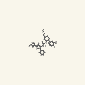 COCCN1CCC(c2ccc(F)c(F)c2)C(NC(=O)Nc2c(C)c(-c3cnn(C)c3)nn2-c2ccccc2)C1